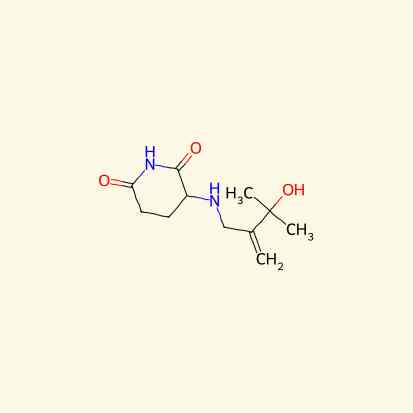 C=C(CNC1CCC(=O)NC1=O)C(C)(C)O